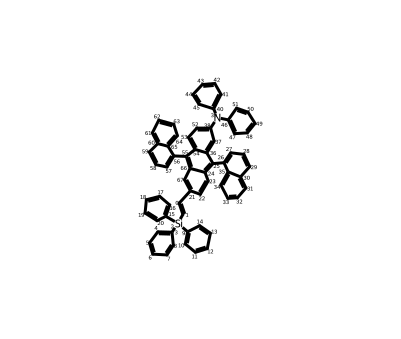 C(=C\[Si](c1ccccc1)(c1ccccc1)c1ccccc1)/c1ccc2c(-c3cccc4ccccc34)c3cc(N(c4ccccc4)c4ccccc4)ccc3c(-c3cccc4ccccc34)c2c1